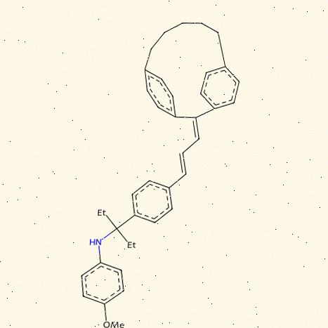 CCC(CC)(Nc1ccc(OC)cc1)c1ccc(C=CC=C2c3ccc(cc3)CCCCCc3ccc2cc3)cc1